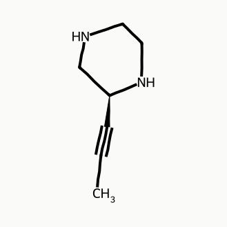 CC#C[C@H]1CNCCN1